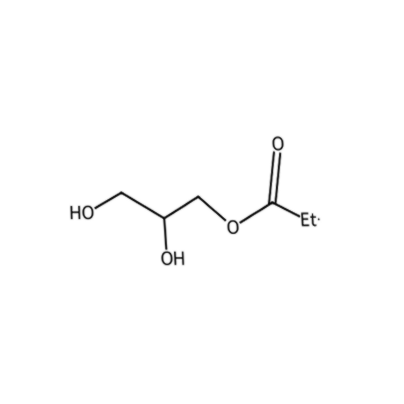 C[CH]C(=O)OCC(O)CO